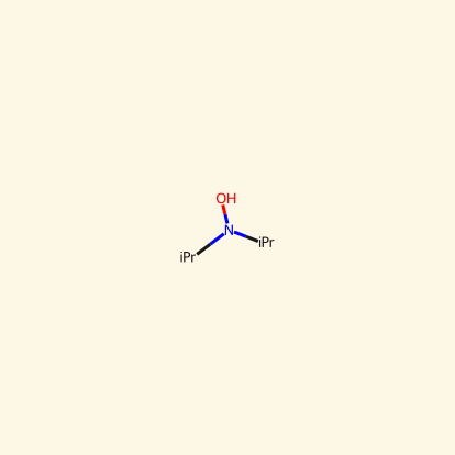 CC(C)N(O)C(C)C